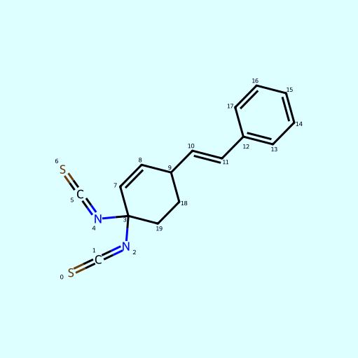 S=C=NC1(N=C=S)C=CC(C=Cc2ccccc2)CC1